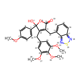 COc1ccc(C2(O)OC(=O)C(Cc3cccc4nsnc34)=C2Cc2cc(OC)c(OC)c(OC)c2)cc1